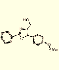 CSOc1ccc(C2OC(c3ccccc3)=NC2CO)cc1